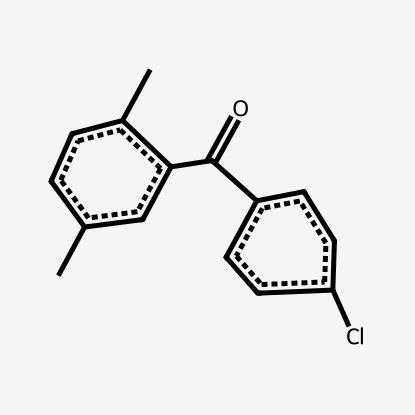 Cc1ccc(C)c(C(=O)c2ccc(Cl)cc2)c1